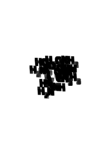 CC(=O)O.CCO.C[C@H](N)C(=O)O.N=C(N)NCCC[C@H](N)C(=O)O